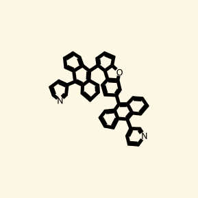 C1=CC2Oc3cc(-c4c5ccccc5c(-c5cccnc5)c5ccccc45)ccc3C2C(c2c3ccccc3c(-c3cccnc3)c3ccccc23)=C1